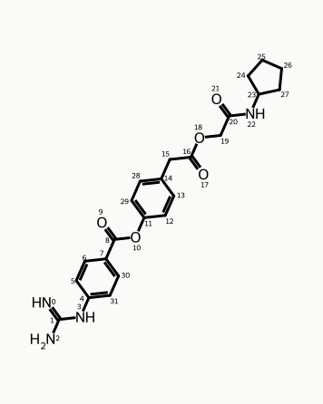 N=C(N)Nc1ccc(C(=O)Oc2ccc(CC(=O)OCC(=O)NC3CCCC3)cc2)cc1